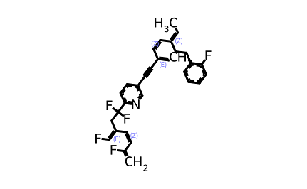 C=C(F)/C=C\C(=C\F)CC(F)(F)c1ccc(C#CC(/C=C\C(=C/C)CCc2ccccc2F)=C/C)cn1